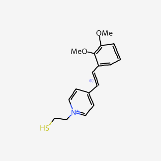 COc1cccc(/C=C/c2cc[n+](CCS)cc2)c1OC